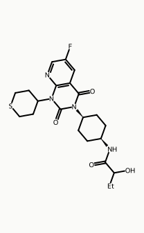 CCC(O)C(=O)N[C@H]1CC[C@@H](n2c(=O)c3cc(F)cnc3n(C3CCSCC3)c2=O)CC1